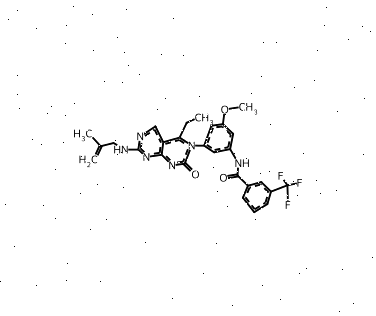 C=C(C)CNc1ncc2c(CC)n(-c3cc(NC(=O)c4cccc(C(F)(F)F)c4)cc(OC)c3)c(=O)nc2n1